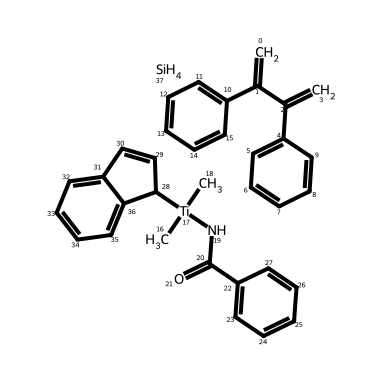 C=C(C(=C)c1ccccc1)c1ccccc1.[CH3][Ti]([CH3])([NH]C(=O)c1ccccc1)[CH]1C=Cc2ccccc21.[SiH4]